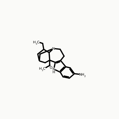 CCC1CC2CN3CCc4c([nH]c5ccc(N)cc45)C(C(C)=O)(C2)C13